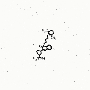 CC1CCC[C@@H](C)N1CCCCCn1c(=O)c(C2CCCC(C(=N)N)C2)cc2ccccc21